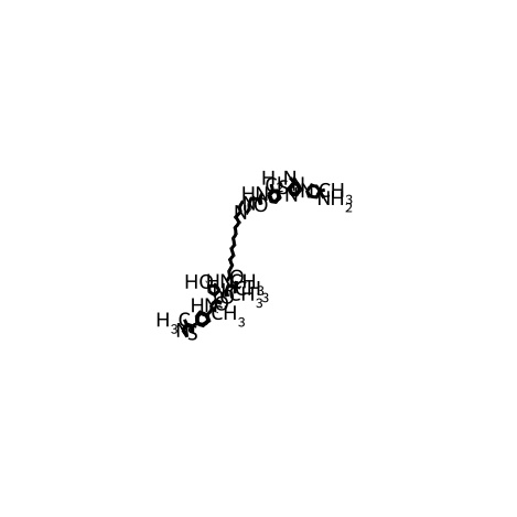 Cc1ncsc1-c1ccc([C@@H](C)NC(=O)[C@H]2C[C@H](O)CN2C(=O)[C@H](NC(=O)CCCCCCCCCCCN2CCN(CC(=O)Nc3cccc(Sc4ncc(N5CCC(C)(N)CC5)nc4N)c3Cl)CC2)C(C)(C)C)cc1